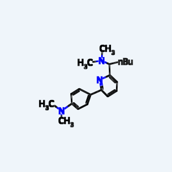 CCCCC(c1cccc(-c2ccc(N(C)C)cc2)n1)N(C)C